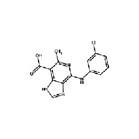 Cc1nc(Nc2cccc(Cl)c2)c2nc[nH]c2c1C(=O)O